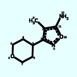 Cc1c(C2CCOCC2)noc1N